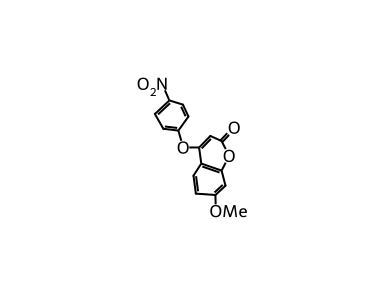 COc1ccc2c(Oc3ccc([N+](=O)[O-])cc3)cc(=O)oc2c1